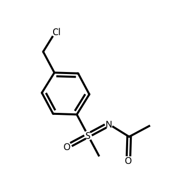 CC(=O)N=S(C)(=O)c1ccc(CCl)cc1